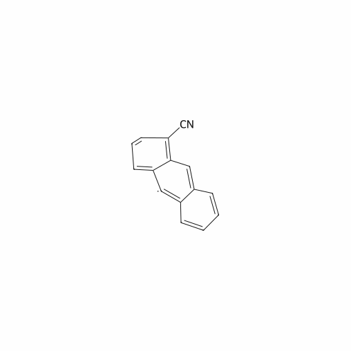 N#Cc1cccc2[c]c3ccccc3cc12